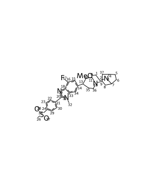 COCCN1C2CCC1CC(N1CCC(c3cc(F)c4nc(-c5ccc(S(C)(=O)=O)cc5)n(C)c4c3)CC1)C2